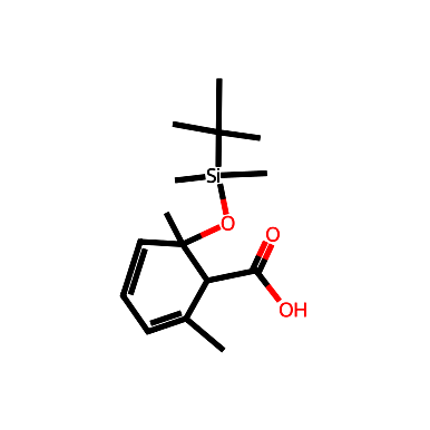 CC1=CC=CC(C)(O[Si](C)(C)C(C)(C)C)C1C(=O)O